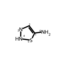 NC1=C[N]NS1